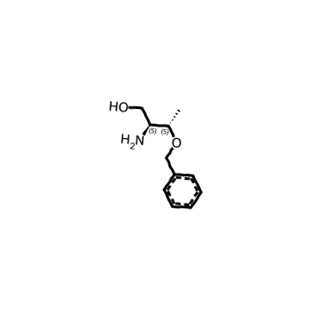 C[C@H](OCc1ccccc1)[C@@H](N)CO